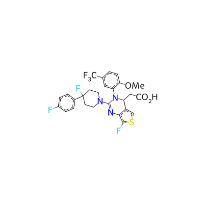 COc1ccc(C(F)(F)F)cc1N1C(N2CCC(F)(c3ccc(F)cc3)CC2)=Nc2c(csc2F)C1CC(=O)O